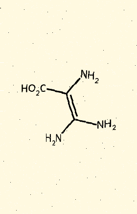 NC(N)=C(N)C(=O)O